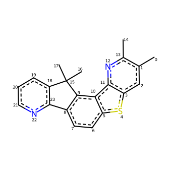 Cc1cc2sc3ccc4c(c3c2nc1C)C(C)(C)c1cccnc1-4